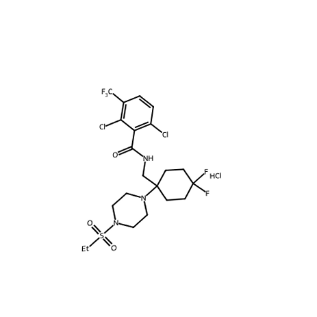 CCS(=O)(=O)N1CCN(C2(CNC(=O)c3c(Cl)ccc(C(F)(F)F)c3Cl)CCC(F)(F)CC2)CC1.Cl